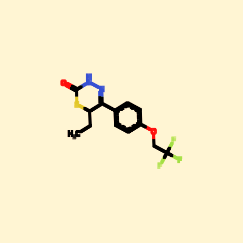 CCC1SC(=O)NN=C1c1ccc(OCC(F)(F)F)cc1